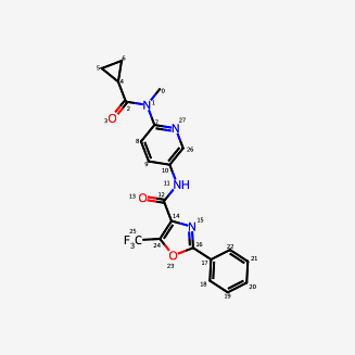 CN(C(=O)C1CC1)c1ccc(NC(=O)c2nc(-c3ccccc3)oc2C(F)(F)F)cn1